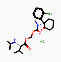 CC(C)N[C@H](C(=O)OCOC(=O)N(C)[C@]1(c2ccccc2Cl)CCCCC1=O)C(C)C.Cl